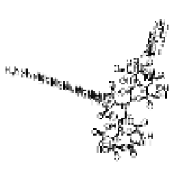 N.N.N.N.N.N.N.N.N.N.N.N.N.N.N.N.N.N.N.N.O=P(O)(O)C(N(CCN(C(P(=O)(O)O)P(=O)(O)O)C(P(=O)(O)O)P(=O)(O)O)CCN(C(P(=O)(O)O)P(=O)(O)O)C(P(=O)(O)O)P(=O)(O)O)P(=O)(O)O